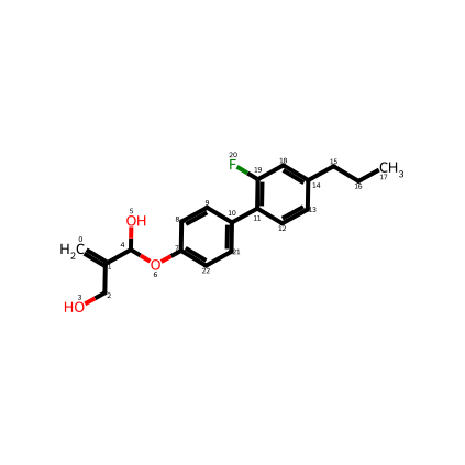 C=C(CO)C(O)Oc1ccc(-c2ccc(CCC)cc2F)cc1